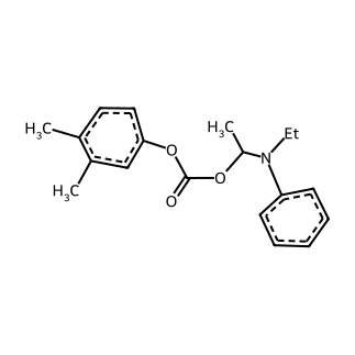 CCN(c1ccccc1)C(C)OC(=O)Oc1ccc(C)c(C)c1